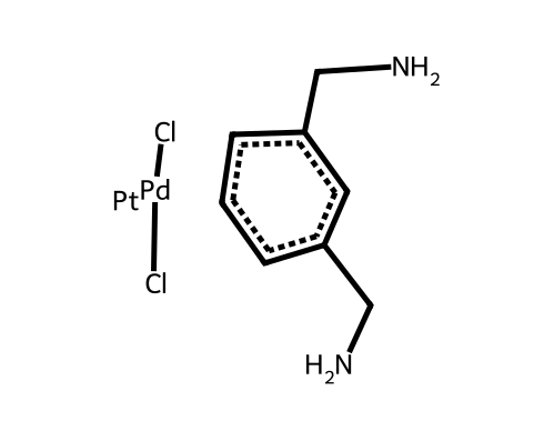 NCc1cccc(CN)c1.[Cl][Pd][Cl].[Pt]